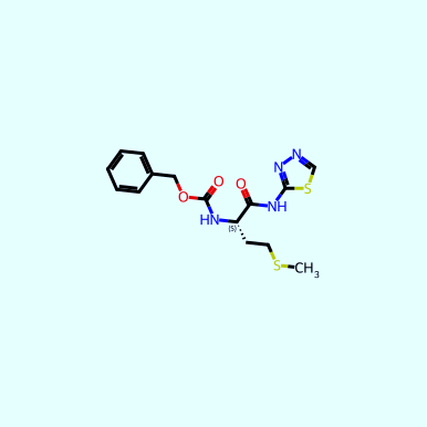 CSCC[C@H](NC(=O)OCc1ccccc1)C(=O)Nc1nncs1